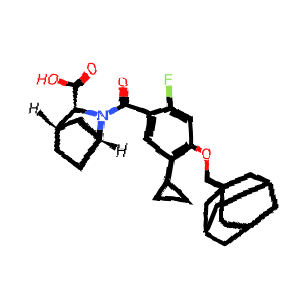 O=C(O)[C@@H]1[C@H]2CC[C@H](C2)N1C(=O)c1cc(C2CC2)c(OCC23CC4CC(CC(C4)C2)C3)cc1F